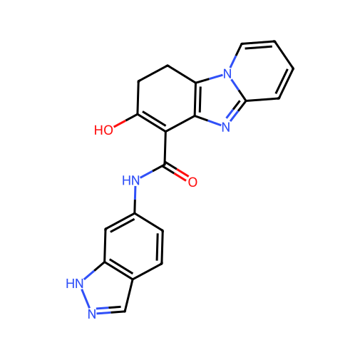 O=C(Nc1ccc2cn[nH]c2c1)C1=C(O)CCc2c1nc1ccccn21